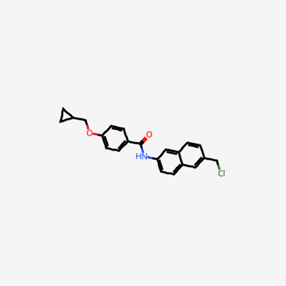 O=C(Nc1ccc2cc(CCl)ccc2c1)c1ccc(OCC2CC2)cc1